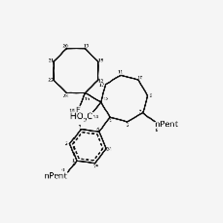 CCCCCc1ccc(C2CC(CCCCC)CCCCC2(C(=O)O)C2(F)CCCCCCC2)cc1